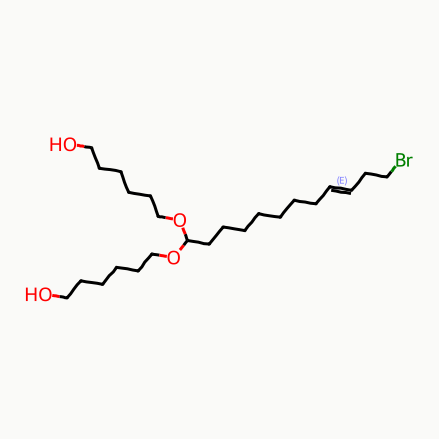 OCCCCCCOC(CCCCCCC/C=C/CCBr)OCCCCCCO